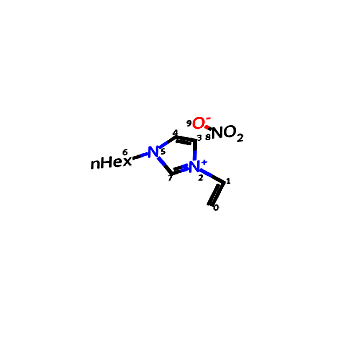 C=C[n+]1ccn(CCCCCC)c1.O=[N+]([O-])[O-]